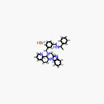 Br.CC(NCc1cccc(CN(Cc2nc3ccccc3[nH]2)C2CCCc3cccnc32)c1)c1ccccc1